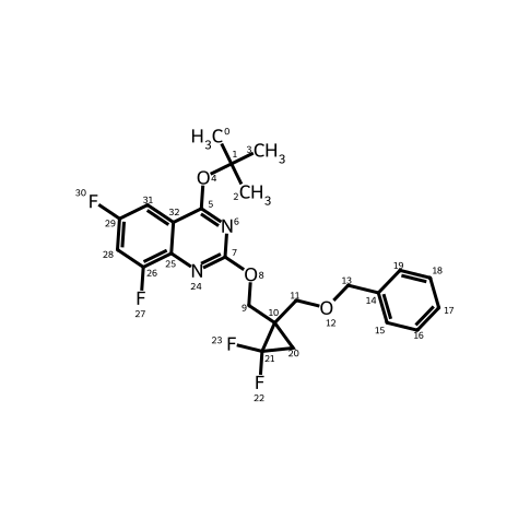 CC(C)(C)Oc1nc(OCC2(COCc3ccccc3)CC2(F)F)nc2c(F)cc(F)cc12